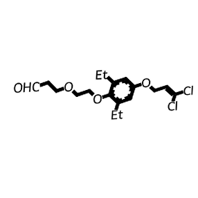 CCc1cc(OCC=C(Cl)Cl)cc(CC)c1OCCOCCC=O